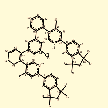 Cc1cc(-c2ccc3c(c2)C(C)(C)CC3(C)C)ncc1C1=C(c2cc(Cl)cc(-c3ccccc3-c3cnc(-c4ccc5c(c4)C(C)(C)CC5(C)C)cc3C)c2)C=CCC1